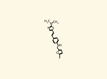 CN(C)c1ncc(/C=C/c2ccc(NCc3ccc(F)o3)cc2)s1